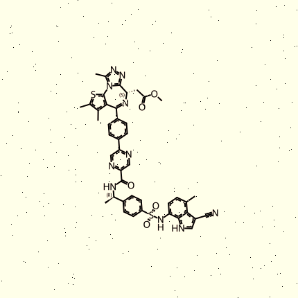 COC(=O)C[C@@H]1N=C(c2ccc(-c3cnc(C(=O)N[C@H](C)c4ccc(S(=O)(=O)Nc5ccc(C)c6c(C#N)c[nH]c56)cc4)cn3)cc2)c2c(sc(C)c2C)-n2c(C)nnc21